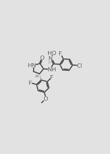 COc1cc(F)c([C@@H]2CNC(=O)C2N/C(=N/O)c2ccc(Cl)cc2F)c(F)c1